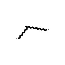 [CH2]CCCC/C=C/CCCCC(C)CCCCCCC[CH2]